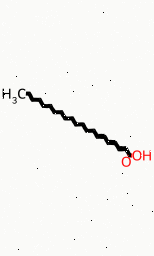 CCCCCCCCCCCCCCC=CC=CC=CC(=O)O